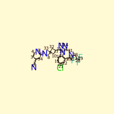 N#Cc1ccnc(N2CC3(CC(c4nnc5n4-c4ccc(Cl)cc4CN(CC(F)(F)F)C5)C3)C2)c1